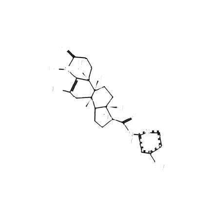 CC1=C2N(C)C(=O)CC[C@]2(C)[C@@H]2CC[C@]3(C)C(C(=O)Nc4cc(C)ccn4)CC[C@H]3[C@@H]2C1